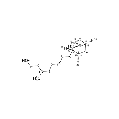 CN(CCO)CCSCC[C@@H]1CC[C@H]2C[C@@H]1C2(C)C